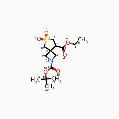 CCOC(=O)C1CS(=O)(=O)CC12CN(C(=O)OC(C)(C)C)C2